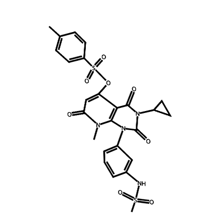 Cc1ccc(S(=O)(=O)Oc2cc(=O)n(C)c3c2c(=O)n(C2CC2)c(=O)n3-c2cccc(NS(C)(=O)=O)c2)cc1